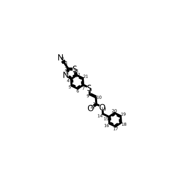 N#Cc1nc2ccc(S/C=C/C(=O)OCc3ccccc3)cc2s1